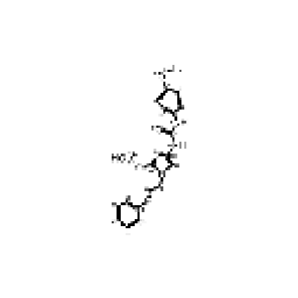 O=C(Nc1ccc(OC(F)(F)F)cc1)Nc1cn(CCOc2ccccc2)c(OC(=O)O)n1